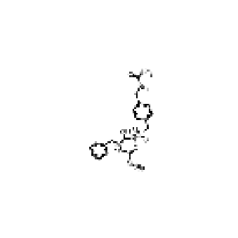 CC(C)(C)OC(=O)N[C@@H](Cc1ccccc1)C(O)NS(=O)(=O)Cc1ccc(CNC(=O)C(F)(F)F)cc1